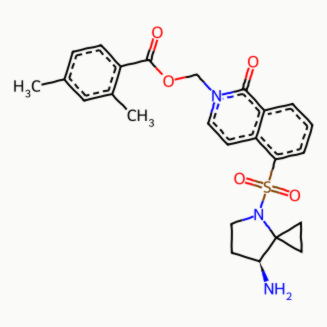 Cc1ccc(C(=O)OCn2ccc3c(S(=O)(=O)N4CC[C@H](N)C45CC5)cccc3c2=O)c(C)c1